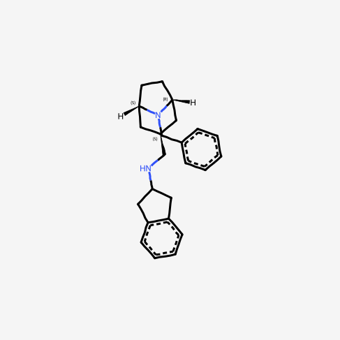 c1ccc(CN2[C@@H]3CC[C@H]2C[C@H](CNC2Cc4ccccc4C2)C3)cc1